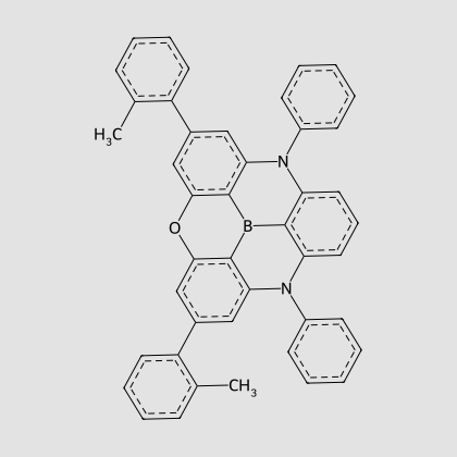 Cc1ccccc1-c1cc2c3c(c1)N(c1ccccc1)c1cccc4c1B3c1c(cc(-c3ccccc3C)cc1N4c1ccccc1)O2